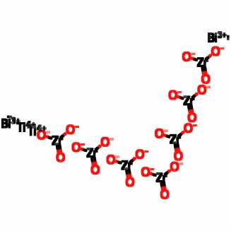 [Bi+3].[Bi+3].[O]=[Zr]([O-])[O-].[O]=[Zr]([O-])[O-].[O]=[Zr]([O-])[O-].[O]=[Zr]([O-])[O-].[O]=[Zr]([O-])[O-].[O]=[Zr]([O-])[O-].[O]=[Zr]([O-])[O-].[Ti+4].[Ti+4]